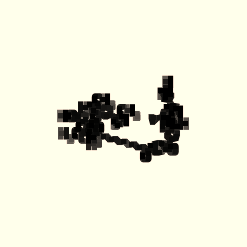 Cc1ncsc1-c1ccc([C@H](C)NC(=O)[C@H]2C[C@H](O)CC2C(=O)[C@@H](NC(=O)CCCCCCCCCCC(=O)N2CCN(C(=O)c3ccc(Nc4nc(C5CC5)cn5c(-c6cn[nH]c6)cnc45)c(F)c3)CC2)C(C)(C)C)cc1